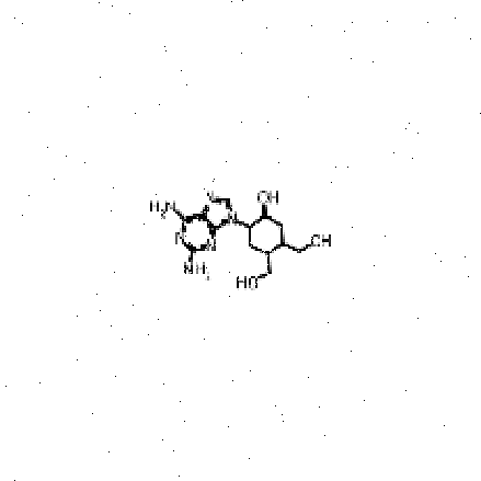 Nc1nc(N)c2ncn(C3CC(CO)C(CO)CC3O)c2n1